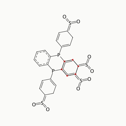 O=S(=O)=C1C=CC(P(C2=CCC(=S(=O)=O)C=C2)c2ccccc2P(C2=CCC(=S(=O)=O)C=C2)C2=CCC(=S(=O)=O)C=C2)=CC1